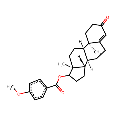 COc1ccc(C(=O)OC2CC[C@H]3[C@@H]4CCC5=CC(=O)CC[C@]5(C)[C@@H]4CC[C@]23C)cc1